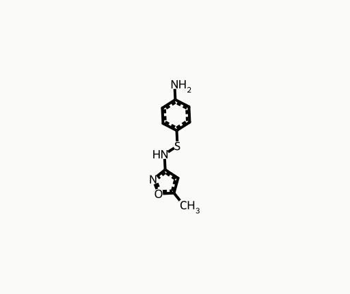 Cc1cc(NSc2ccc(N)cc2)no1